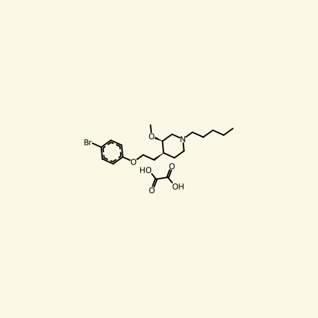 CCCCCN1CC[C@@H](CCOc2ccc(Br)cc2)[C@@H](OC)C1.O=C(O)C(=O)O